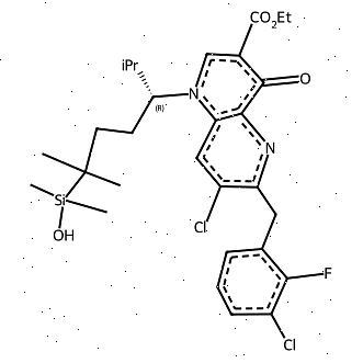 CCOC(=O)c1cn([C@H](CCC(C)(C)[Si](C)(C)O)C(C)C)c2cc(Cl)c(Cc3cccc(Cl)c3F)nc2c1=O